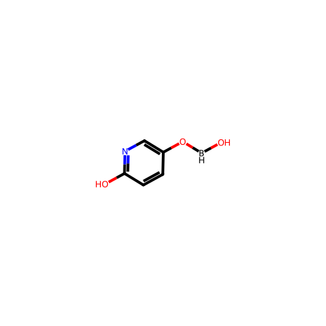 OBOc1ccc(O)nc1